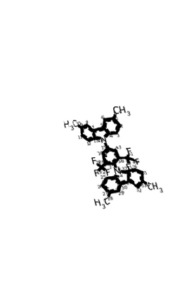 Cc1ccc2c(c1)c1cc(C)ccc1n2-c1cc(C(F)(F)F)c(-n2c3ccc(C)cc3c3cc(C)ccc32)c(C(F)(F)F)c1